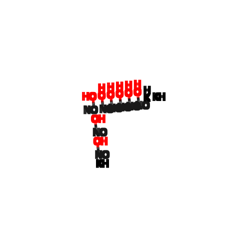 O=NO.O=NO.O=NO.O=NO.O=NO.O=NO.O=NO.O=NO.[KH].[KH].[KH]